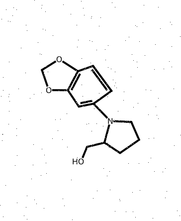 OCC1CCCN1c1ccc2c(c1)OCO2